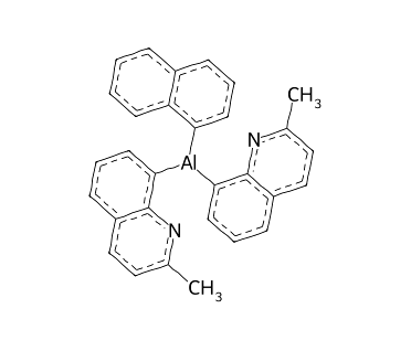 Cc1ccc2ccc[c]([Al]([c]3cccc4ccccc34)[c]3cccc4ccc(C)nc34)c2n1